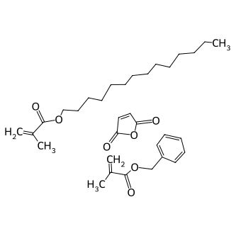 C=C(C)C(=O)OCCCCCCCCCCCCCC.C=C(C)C(=O)OCc1ccccc1.O=C1C=CC(=O)O1